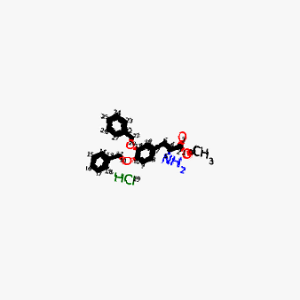 COC(=O)[C@@H](N)Cc1ccc(OCc2ccccc2)c(OCc2ccccc2)c1.Cl